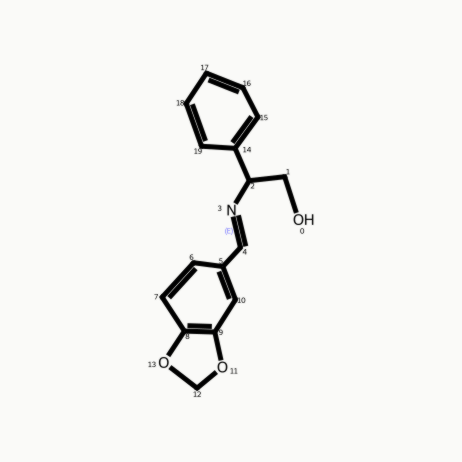 OCC(/N=C/c1ccc2c(c1)OCO2)c1ccccc1